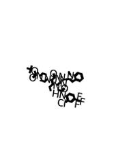 CCc1c(N2CCN(C(=O)OC(C)(C)C)CC2)c(=O)n2nc(-c3cc4ccccc4n3C)nc2n1CC(=O)Nc1ccc(C(F)(F)F)cc1Cl